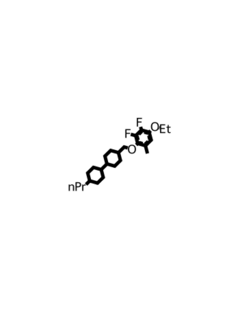 CCCC1CCC(C2CCC(COc3c(C)cc(OCC)c(F)c3F)CC2)CC1